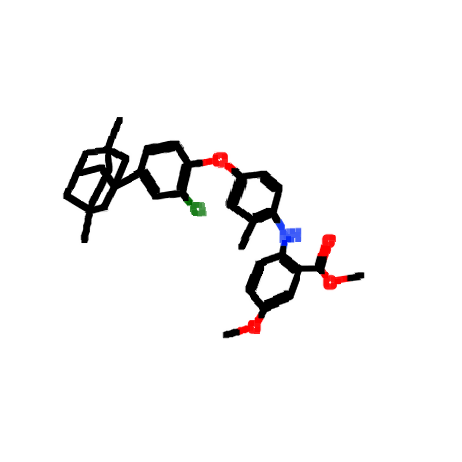 COC(=O)c1cc(OC)ccc1Nc1ccc(Oc2ccc(C34CC5CC(C)(CC(C)(C5)C3)C4)cc2Cl)cc1C